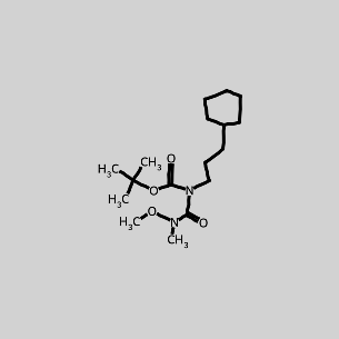 CON(C)C(=O)N(CCCC1CCCCC1)C(=O)OC(C)(C)C